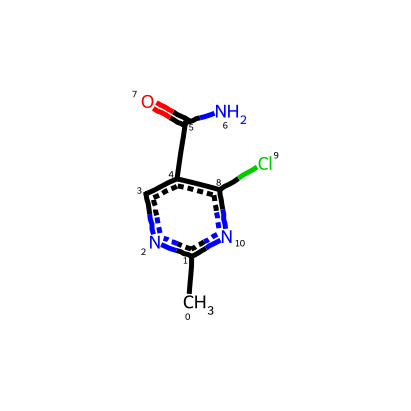 Cc1ncc(C(N)=O)c(Cl)n1